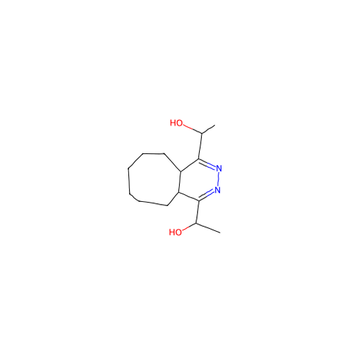 CC(O)C1=NN=C(C(C)O)C2CCCCCCC12